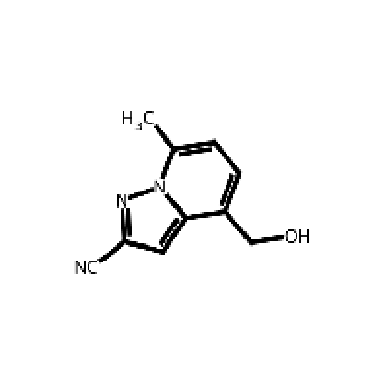 Cc1ccc(CO)c2cc(C#N)nn12